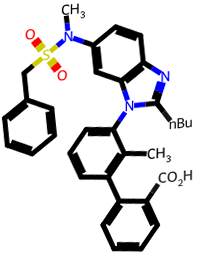 CCCCc1nc2ccc(N(C)S(=O)(=O)Cc3ccccc3)cc2n1-c1cccc(-c2ccccc2C(=O)O)c1C